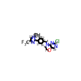 CCc1cc(CN2CCOc3cnc(Cl)nc32)ccc1-c1nc(C(F)(F)F)cn1C